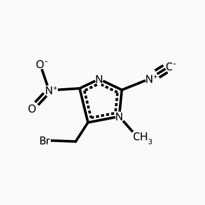 [C-]#[N+]c1nc([N+](=O)[O-])c(CBr)n1C